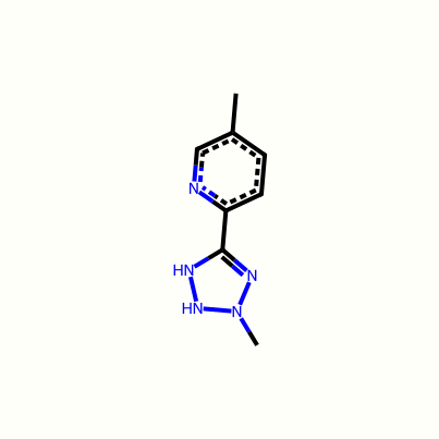 Cc1ccc(C2=NN(C)NN2)nc1